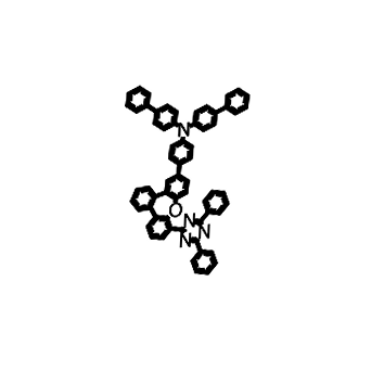 c1ccc(-c2ccc(N(c3ccc(-c4ccccc4)cc3)c3ccc(-c4ccc5c(c4)-c4ccccc4-c4cccc(-c6nc(-c7ccccc7)nc(-c7ccccc7)n6)c4O5)cc3)cc2)cc1